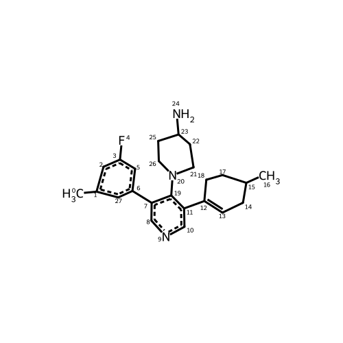 Cc1cc(F)cc(-c2cncc(C3=CCC(C)CC3)c2N2CCC(N)CC2)c1